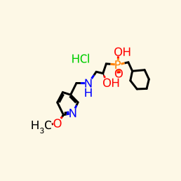 COc1ccc(CNC[C@H](O)CP(=O)(O)CC2CCCCC2)cn1.Cl